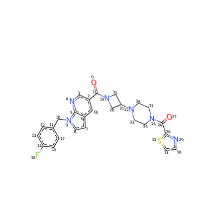 O=C(c1cnc2c(ccn2Cc2ccc(F)cc2)c1)N1CC(N2CCN(C(=O)c3nccs3)CC2)C1